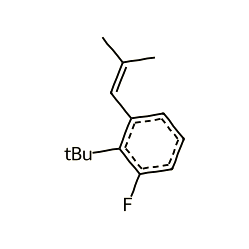 CC(C)=Cc1cccc(F)c1C(C)(C)C